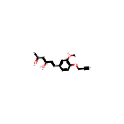 C#CCOc1ccc(C=CC(O)=CC(C)=O)cc1OC